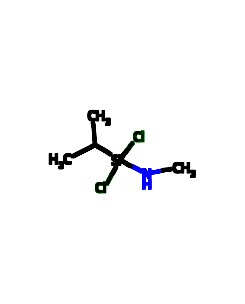 CN[Si](Cl)(Cl)C(C)C